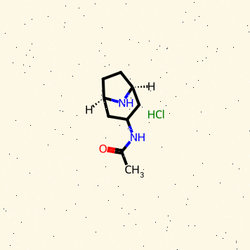 CC(=O)NC1C[C@H]2CC[C@@H](C1)N2.Cl